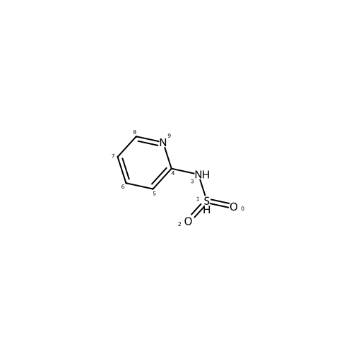 O=[SH](=O)Nc1ccccn1